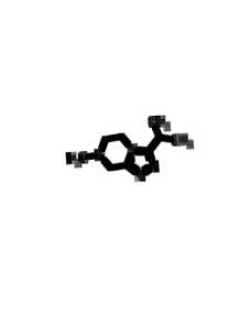 CC(C)c1nnc2n1CCN(C)C2